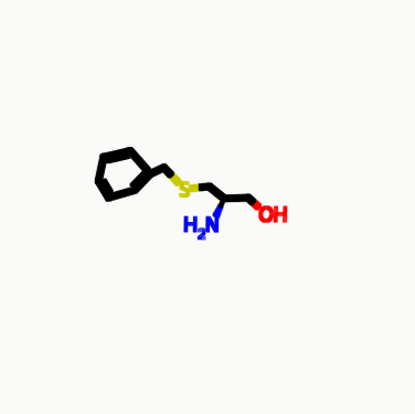 N[C@H](CO)CSCc1ccccc1